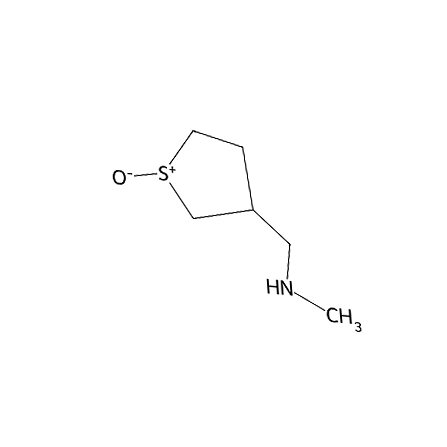 CNCC1CC[S+]([O-])C1